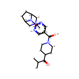 CC(C)C(=O)C1CCN(C(=O)c2cnc(N3C4CCC3CN(C)C4)nc2)CC1